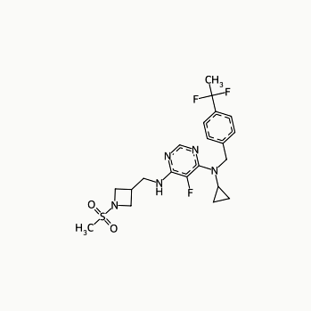 CC(F)(F)c1ccc(CN(c2ncnc(NCC3CN(S(C)(=O)=O)C3)c2F)C2CC2)cc1